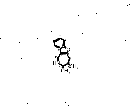 CC1Cc2oc3ccccc3c2CNC1C